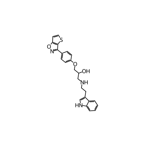 OC(CNCCc1c[nH]c2ccccc12)COc1ccc(-c2noc3ccsc23)cc1